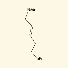 CCCCC/C=C/CNC